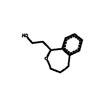 OCCC1OCCCc2ccccc21